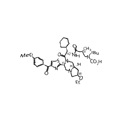 CCO[C@@H]1C[C@@H]2CN(C(=O)[C@@H](NC(=O)[C@@H](C)CN(C(=O)O)C(C)(C)C)C3CCCCC3)[C@H](c3nc(C(=O)c4ccc(OC)cc4)cs3)CN2C1